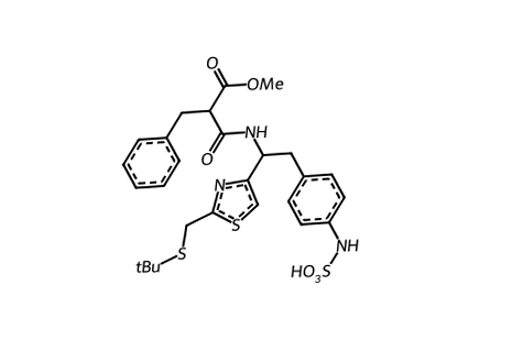 COC(=O)C(Cc1ccccc1)C(=O)NC(Cc1ccc(NS(=O)(=O)O)cc1)c1csc(CSC(C)(C)C)n1